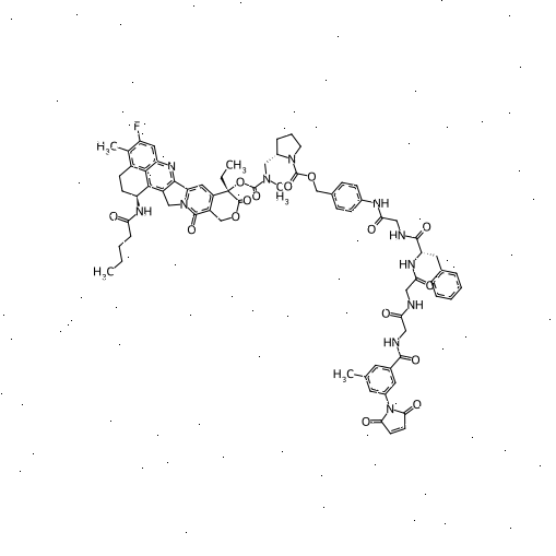 CCCCC(=O)N[C@H]1CCc2c(C)c(F)cc3nc4c(c1c23)Cn1c-4cc2c(c1=O)COC(=O)[C@@]2(CC)OC(=O)N(C)C[C@@H]1CCCN1C(=O)OCc1ccc(NC(=O)CNC(=O)[C@H](Cc2ccccc2)NC(=O)CNC(=O)CNC(=O)c2cc(C)cc(N3C(=O)C=CC3=O)c2)cc1